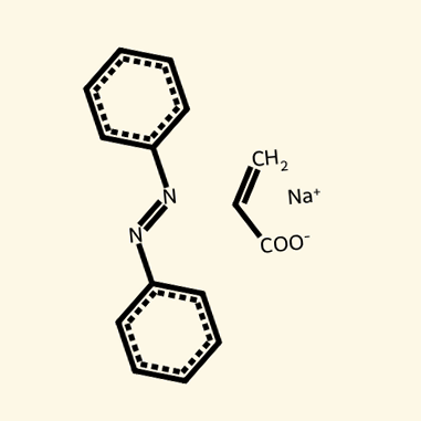 C=CC(=O)[O-].[Na+].c1ccc(N=Nc2ccccc2)cc1